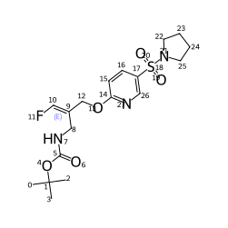 CC(C)(C)OC(=O)NC/C(=C\F)COc1ccc(S(=O)(=O)N2CCCC2)cn1